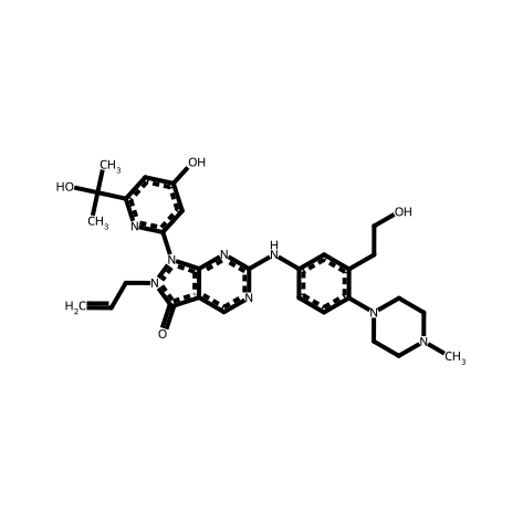 C=CCn1c(=O)c2cnc(Nc3ccc(N4CCN(C)CC4)c(CCO)c3)nc2n1-c1cc(O)cc(C(C)(C)O)n1